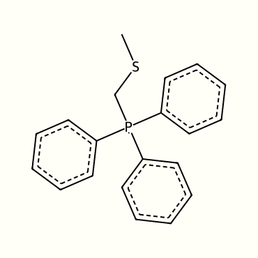 CSC[P](c1ccccc1)(c1ccccc1)c1ccccc1